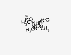 COc1cc2nc(C)nc(NCc3cccc(C(F)F)c3C)c2cc1P1CCN(Cc2ccccc2)CC1